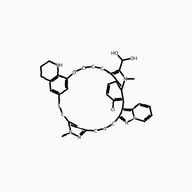 Cn1nc2cc1CSc1cc3c(c(c1)OCCCc1c(C(O)O)n(C)c4c(c(Cl)ccc14)-c1c(nn4ccccc14)CSC2)NCCC3